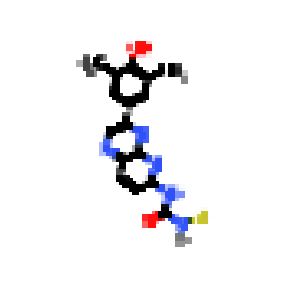 CCN(S)C(=O)Nc1ccc2ncc(-c3cc(C)c(O)c(C)c3)nc2n1